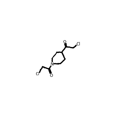 O=C(CCl)C1CCN(C(=O)CCl)CC1